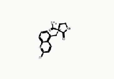 NC(=O)[C@]1(Cc2cccc3nc(Cl)ccc23)CCNC1=O